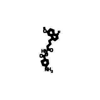 COc1ccc2c(F)ccc(CCCC(=O)NOC(=O)c3ccc(N)cc3)c2c1